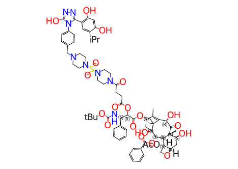 CC(=O)O[C@@]12CO[C@@H]1C[C@H](O)[C@@]1(C)C(=O)[C@H](O)C3=C(C)[C@@H](OC(=O)[C@H](OC(=O)CCC(=O)N4CCN(S(=O)(=O)N5CCN(Cc6ccc(-n7c(O)nnc7-c7cc(C(C)C)c(O)cc7O)cc6)CC5)CC4)[C@@H](NC(=O)OC(C)(C)C)c4ccccc4)C[C@@](O)([C@@H](OC(=O)c4ccccc4)[C@H]21)C3(C)C